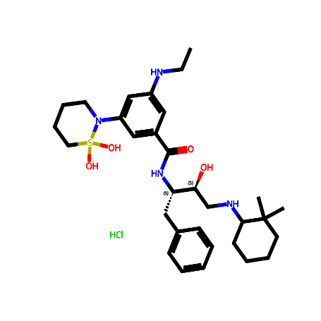 CCNc1cc(C(=O)N[C@@H](Cc2ccccc2)[C@@H](O)CNC2CCCCC2(C)C)cc(N2CCCCS2(O)O)c1.Cl